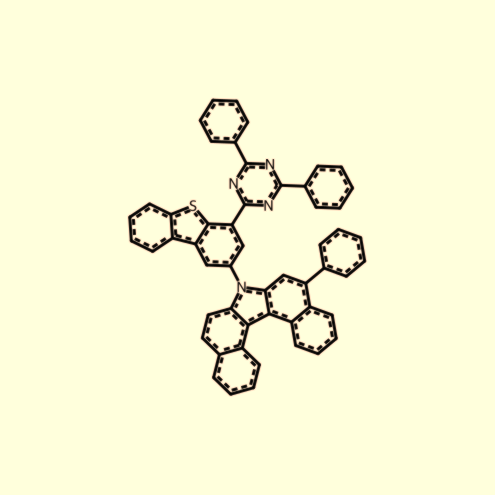 c1ccc(-c2nc(-c3ccccc3)nc(-c3cc(-n4c5ccc6ccccc6c5c5c6ccccc6c(-c6ccccc6)cc54)cc4c3sc3ccccc34)n2)cc1